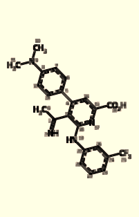 CC(=N)c1c(-c2ccc(N(C)C)cc2)cc(C(=O)O)nc1Nc1cccc(C(F)(F)F)c1